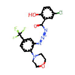 O=C(N=[N+]=Nc1cc(C(F)(F)F)ccc1N1CCOCC1)c1cc(Cl)ccc1O